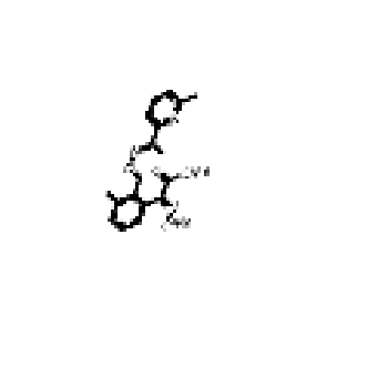 CO/N=C(/C(=O)OC)c1cccc(C)c1CO/N=C(\C)c1cccc(C)n1